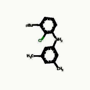 CCCCc1cccc([SiH2]c2cc(C)cc(C)c2)c1Cl